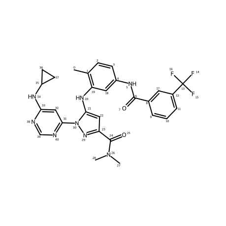 Cc1ccc(NC(=O)c2cccc(C(F)(F)F)c2)cc1Nc1cc(C(=O)N(C)C)nn1-c1cc(NC2CC2)ncn1